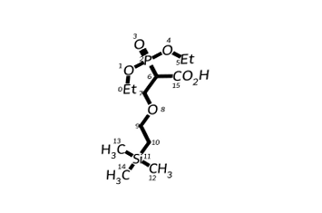 CCOP(=O)(OCC)C(COCC[Si](C)(C)C)C(=O)O